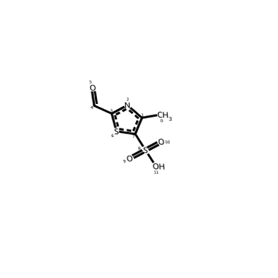 Cc1nc(C=O)sc1S(=O)(=O)O